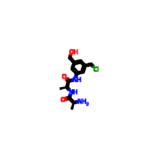 C[C@H](N)C(=O)N[C@@H](C)C(=O)Nc1cc(CO)cc(CCl)c1